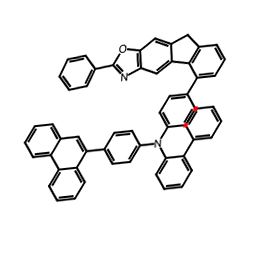 c1ccc(-c2nc3cc4c(cc3o2)Cc2cccc(-c3ccc(N(c5ccc(-c6cc7ccccc7c7ccccc67)cc5)c5ccccc5-c5ccccc5)cc3)c2-4)cc1